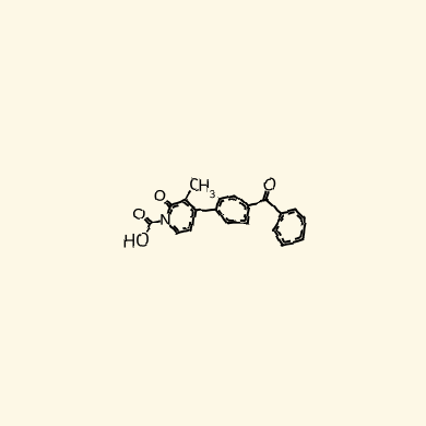 Cc1c(-c2ccc(C(=O)c3ccccc3)cc2)ccn(C(=O)O)c1=O